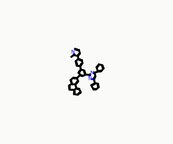 Cc1ncccc1-c1ccc(-c2cc(-c3ccc4ccc5ccccc5c4c3)cc(-c3nc(-c4ccccc4)cc(-c4ccccc4)n3)c2)cc1